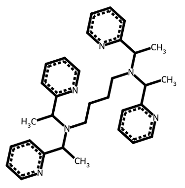 CC(c1ccccn1)N(CCCCN(C(C)c1ccccn1)C(C)c1ccccn1)C(C)c1ccccn1